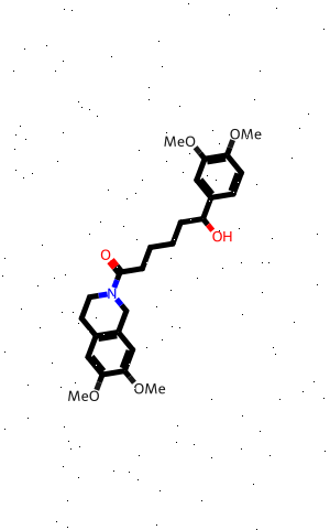 COc1ccc(C(O)CCCCC(=O)N2CCc3cc(OC)c(OC)cc3C2)cc1OC